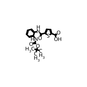 CC(C)(C)OC(=O)Nc1ccccc1NC(=O)c1ccc(C(=O)O)s1